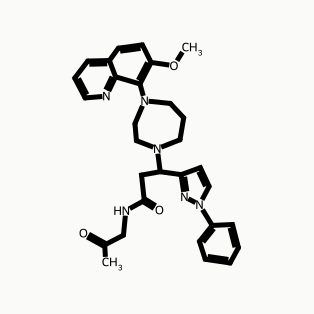 COc1ccc2cccnc2c1N1CCCN(C(CC(=O)NCC(C)=O)c2ccn(-c3ccccc3)n2)CC1